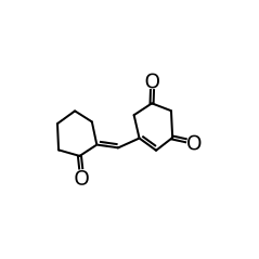 O=C1C=C(C=C2CCCCC2=O)CC(=O)C1